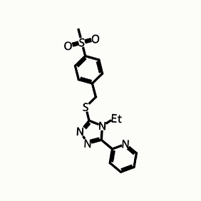 CCn1c(SCc2ccc(S(C)(=O)=O)cc2)nnc1-c1ccccn1